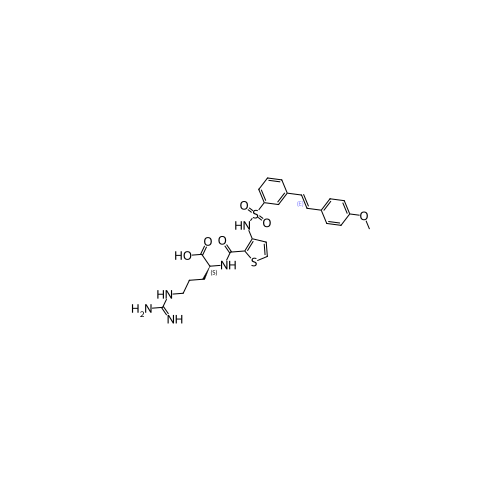 COc1ccc(/C=C/c2cccc(S(=O)(=O)Nc3ccsc3C(=O)N[C@@H](CCCNC(=N)N)C(=O)O)c2)cc1